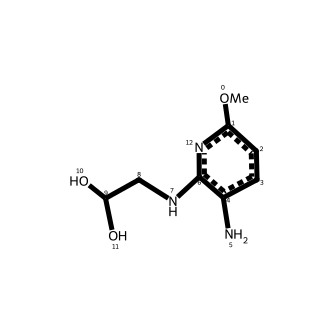 COc1ccc(N)c(NCC(O)O)n1